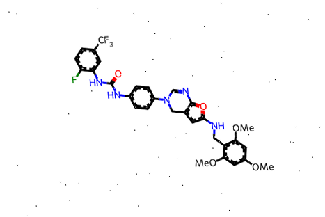 COc1cc(OC)c(CNc2cc3c(o2)N=CN(c2ccc(NC(=O)Nc4cc(C(F)(F)F)ccc4F)cc2)C3)c(OC)c1